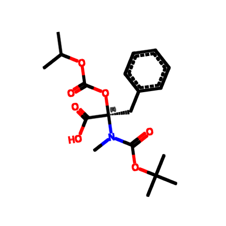 CC(C)OC(=O)O[C@](Cc1ccccc1)(C(=O)O)N(C)C(=O)OC(C)(C)C